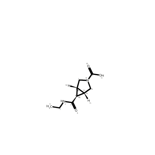 CCNC(=O)[C@H]1[C@@H]2CN(C(=O)O)C[C@@H]21